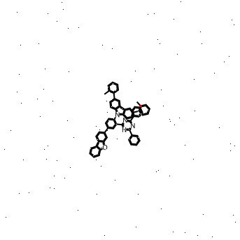 Cc1ccccc1-c1ccc2c(c1)c1cc(-c3ccccc3C)ccc1n2-c1ccc(-c2ccc3c(c2)oc2ccccc23)cc1-c1nc(-c2ccccc2)nc(-c2ccccc2)n1